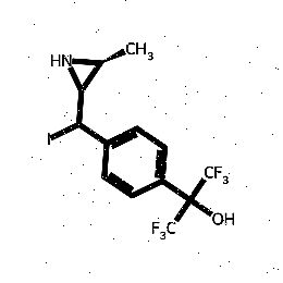 C[C@@H]1NC1C(I)c1ccc(C(O)(C(F)(F)F)C(F)(F)F)cc1